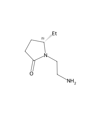 CC[C@H]1CCC(=O)N1CCN